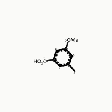 [CH2]Oc1cc(C)cc(C(=O)O)c1